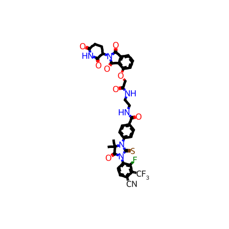 CC1(C)C(=O)N(c2ccc(C#N)c(C(F)(F)F)c2F)C(=S)N1c1ccc(C(=O)NCCNC(=O)COc2cccc3c2C(=O)N(C2CCC(=O)NC2=O)C3=O)cc1